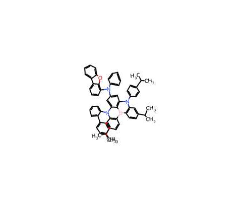 Cc1ccc(-c2ccccc2N2c3cc(C(C)C)ccc3B3c4ccc(C(C)C)cc4N(c4ccc(C(C)C)cc4)c4cc(N(c5ccccc5)c5cccc6c5oc5ccccc56)cc2c43)cc1